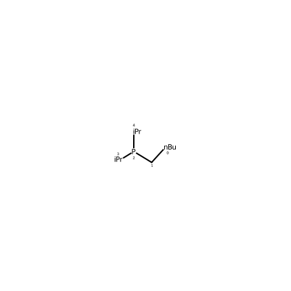 CCCCCP(C(C)C)C(C)C